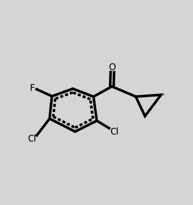 O=C(c1cc(F)c(Cl)cc1Cl)C1[CH]C1